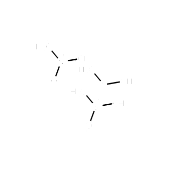 CSC.C[S+](C)[O-].C[S+](C)[O-]